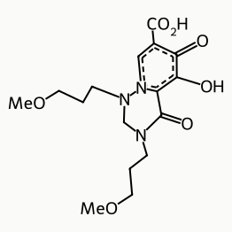 COCCCN1CN(CCCOC)n2cc(C(=O)O)c(=O)c(O)c2C1=O